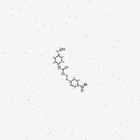 O=C(OCCc1ccc([N+](=O)[O-])cc1)Oc1ccc(CO)cc1